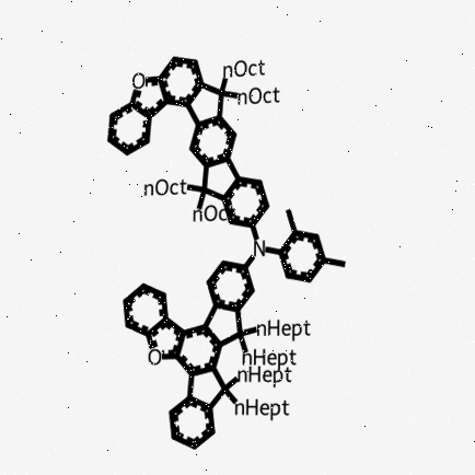 CCCCCCCCC1(CCCCCCCC)c2cc(N(c3ccc4c(c3)C(CCCCCCC)(CCCCCCC)c3c5c(c6oc7ccccc7c6c3-4)-c3ccccc3C5(CCCCCCC)CCCCCCC)c3ccc(C)cc3C)ccc2-c2cc3c(cc21)-c1c(ccc2oc4ccccc4c12)C3(CCCCCCCC)CCCCCCCC